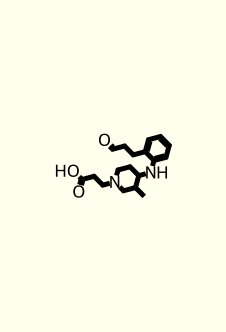 CC1CN(CCC(=O)O)CCC1Nc1ccccc1CCC=O